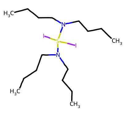 CCCCN(CCCC)S(I)(I)N(CCCC)CCCC